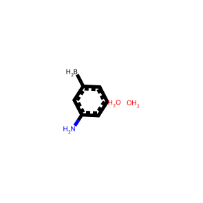 Bc1cccc(N)c1.O.O